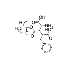 CC(C)(C)OC(=O)C(C(N)C(=O)O)C(Cc1ccccc1)C(=O)O